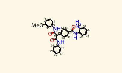 COc1cccc(NC(=O)C(C(=O)Nc2ccccc2)c2ccc(C(=O)Nc3ccccc3N)cc2)c1